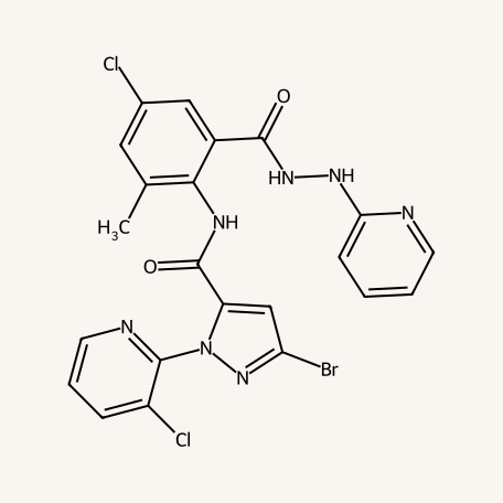 Cc1cc(Cl)cc(C(=O)NNc2ccccn2)c1NC(=O)c1cc(Br)nn1-c1ncccc1Cl